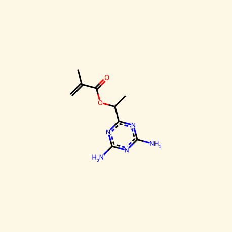 C=C(C)C(=O)OC(C)c1nc(N)nc(N)n1